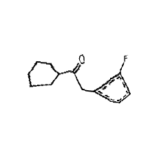 O=C(Cc1cccc(F)c1)C1CCCCC1